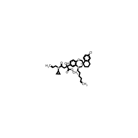 C=CCCCCN1C[C@@]2(CCCc3cc(Cl)ccc32)COc2ccc(C(O)(CC(=O)N(CC=C)C3CC3)C(=O)OC)cc21